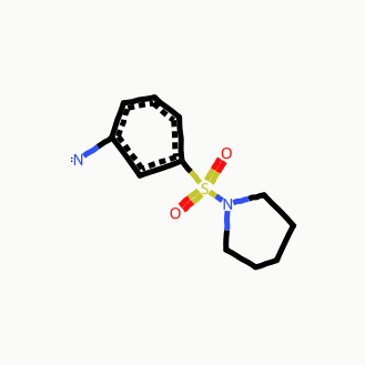 [N]c1cccc(S(=O)(=O)N2CCCCC2)c1